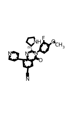 COc1ccc(-n2c([C@@H]3CCCN3)nc3c(-c4ccncc4)cc(C#N)cc3c2=O)cc1F